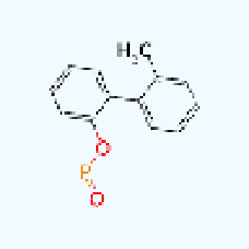 Cc1ccccc1-c1ccccc1OP=O